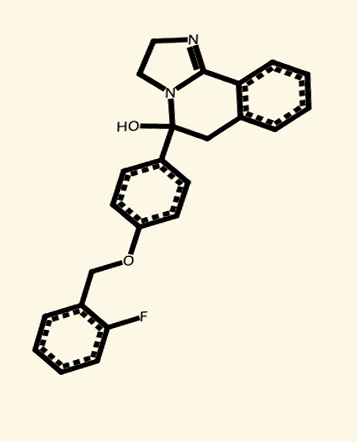 OC1(c2ccc(OCc3ccccc3F)cc2)Cc2ccccc2C2=NCCN21